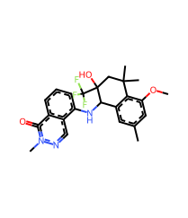 COc1cc(C)cc2c1C(C)(C)CC(O)(C(F)(F)F)C2Nc1cccc2c(=O)n(C)ncc12